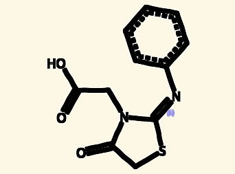 O=C(O)CN1C(=O)CS/C1=N/c1ccccc1